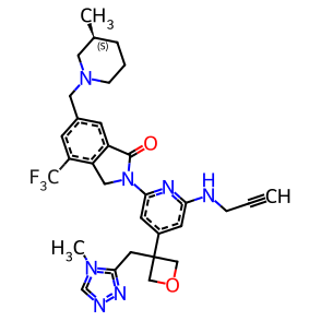 C#CCNc1cc(C2(Cc3nncn3C)COC2)cc(N2Cc3c(cc(CN4CCC[C@H](C)C4)cc3C(F)(F)F)C2=O)n1